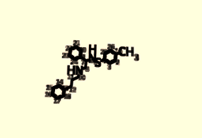 Cc1ccc(SNC(CNCCCc2ccccc2)c2ccccc2)cc1